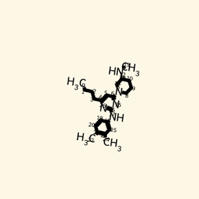 CCCCc1cc(N2CCC[C@@H](NC)C2)nc(Nc2ccc(C)c(C)c2)n1